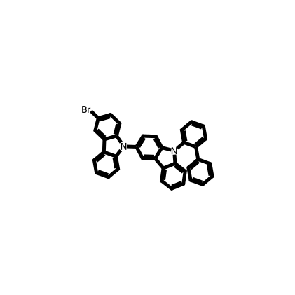 Brc1ccc2c(c1)c1ccccc1n2-c1ccc2c(c1)c1ccccc1n2-c1ccccc1-c1ccccc1